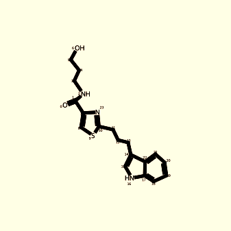 O=C(NCCCO)c1csc(CCCc2c[nH]c3ccccc23)n1